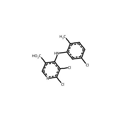 Cc1ccc(Cl)cc1Nc1c(C(=O)O)cnc(Cl)c1Cl